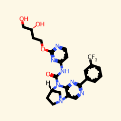 O=C(Nc1ccnc(OCC[C@@H](O)CO)n1)N1c2nc(-c3cccc(C(F)(F)F)c3)ncc2N2CC[C@H]1C2